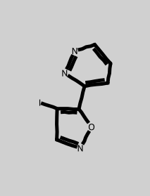 Ic1cnoc1-c1cccnn1